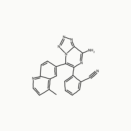 Cc1ccnc2ccc(-c3c(-c4ccccc4C#N)nc(N)c4nnnn34)cc12